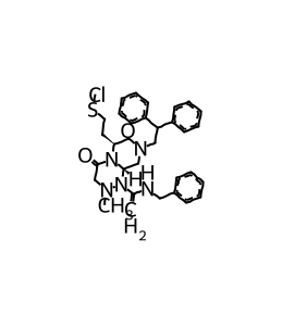 C=C(NCc1ccccc1)N1[C@H]2CN(CC(c3ccccc3)c3ccccc3)C(=O)[C@H](CCSCl)N2C(=O)CN1C